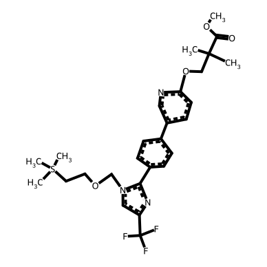 COC(=O)C(C)(C)COc1ccc(-c2ccc(-c3nc(C(F)(F)F)cn3COCCS(C)(C)C)cc2)cn1